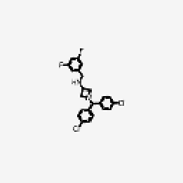 Fc1cc(F)cc(CNC2CN(C(c3ccc(Cl)cc3)c3ccc(Cl)cc3)C2)c1